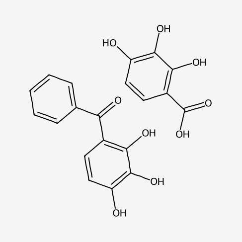 O=C(O)c1ccc(O)c(O)c1O.O=C(c1ccccc1)c1ccc(O)c(O)c1O